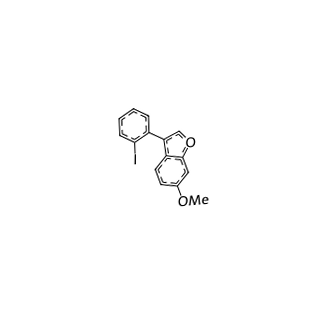 COc1ccc2c(-c3ccccc3I)coc2c1